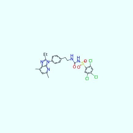 CCc1nc2c(C)cc(C)nc2n1-c1ccc(CCNC(=O)NS(=O)(=O)c2cc(Cl)c(Cl)cc2Cl)cc1